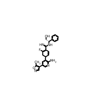 Cc1oncc1-c1cnc(N)c(C2C=CC(C(=N)N[C@H](CO)c3ccccc3)=C(F)C2)c1